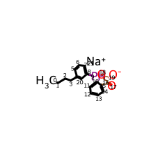 CCCCc1cccc(Pc2ccccc2S(=O)(=O)[O-])c1.[Na+]